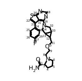 NC(=O)[C@@H]1CCCN1CCOCC1C2CN(c3ncnc4scc(-c5ccc(F)cc5)c34)CC12